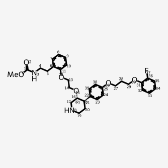 COC(=O)NCCc1ccccc1OCCO[C@H]1CNCC[C@@H]1c1ccc(OCCCOc2ccccc2F)cc1